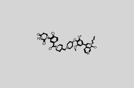 CCCCn1cc(-c2cc(OC)c(OC3CCN(CC4CCN(C(=O)c5ccc(Cl)c(N6CCC(=O)NC6=O)c5)CC4)CC3)c(OC)c2)c2ccncc2c1=O